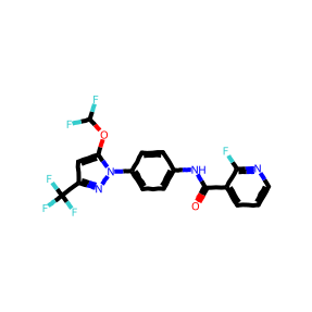 O=C(Nc1ccc(-n2nc(C(F)(F)F)cc2OC(F)F)cc1)c1cccnc1F